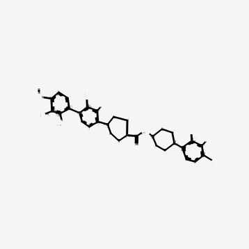 CCOc1ccc(-c2ccc(C3CCC(C(=O)OC4CCC(c5ccc(C)c(F)c5F)CC4)CC3)c(F)c2F)c(F)c1F